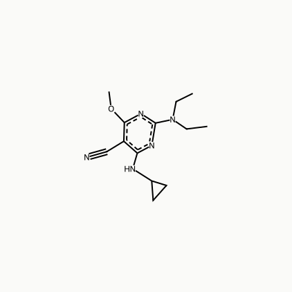 CCN(CC)c1nc(NC2CC2)c(C#N)c(OC)n1